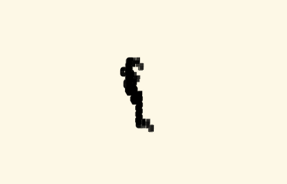 CCCCCCCc1ccc(-c2ccc(OC(COC(=O)CCC)C(F)(F)F)cc2)nc1